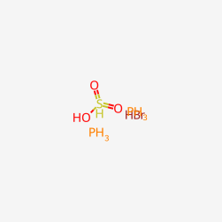 Br.O=[SH](=O)O.P.P